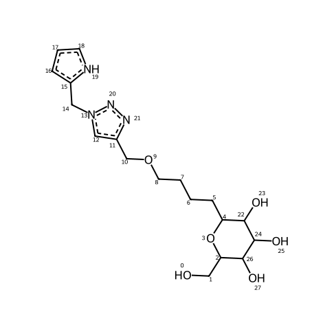 OCC1OC(CCCCOCc2cn(Cc3ccc[nH]3)nn2)C(O)C(O)C1O